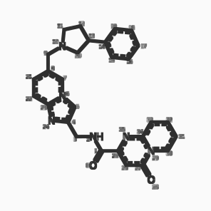 O=C(NCc1cn2cc(CN3CCC(c4ccccc4)C3)ccc2n1)c1cc(=O)n2ccccc2n1